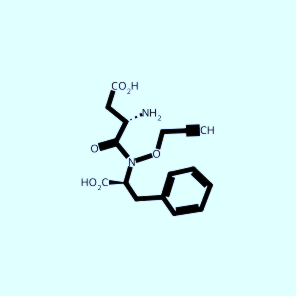 C#CCON(C(=O)[C@@H](N)CC(=O)O)[C@@H](Cc1ccccc1)C(=O)O